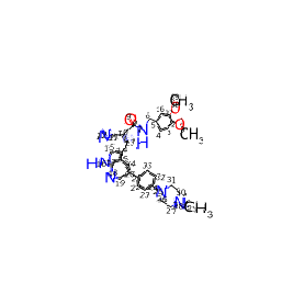 COc1ccc(CNC(=O)/C(C#N)=C/c2c[nH]c3ncc(-c4ccc(N5CCN(C)CC5)cc4)cc23)cc1OC